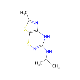 Cc1nc2c(s1)SN=C(NC(C)C)N2